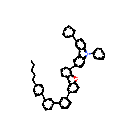 CCCCCc1ccc(-c2cccc(-c3cccc(-c4ccc5oc6c(-c7ccc8c(c7)c7cc(-c9ccccc9)ccc7n8-c7ccccc7)cccc6c5c4)c3)c2)cc1